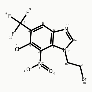 O=[N+]([O-])c1c(Cl)c(C(F)(F)F)cc2ncn(CCBr)c12